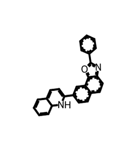 C1=CC2=CC=C(c3ccc4ccc5nc(-c6ccccc6)oc5c4c3)NC2C=C1